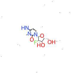 Cn1c(=N)ccn([C@@H]2O[C@H](CO)[C@@H](O)[C@H]2F)c1=O